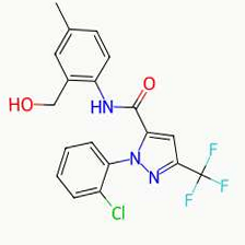 Cc1ccc(NC(=O)c2cc(C(F)(F)F)nn2-c2ccccc2Cl)c(CO)c1